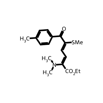 CCOC(=O)C(=CC=C(SC)C(=O)c1ccc(C)cc1)N(C)C